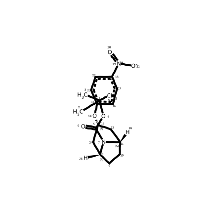 CC(C)(C)OC(=O)N1[C@@H]2CC[C@H]1C[C@@H](Oc1ccc([N+](=O)[O-])cc1)C2